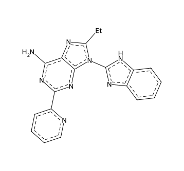 CCc1nc2c(N)nc(-c3ccccn3)nc2n1-c1nc2ccccc2[nH]1